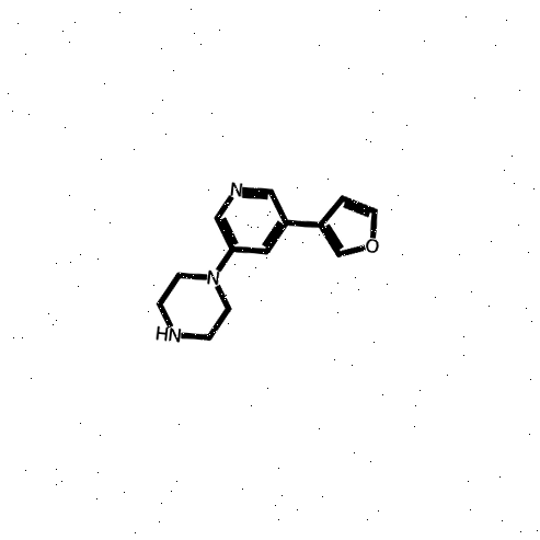 c1cc(-c2cncc(N3CCNCC3)c2)co1